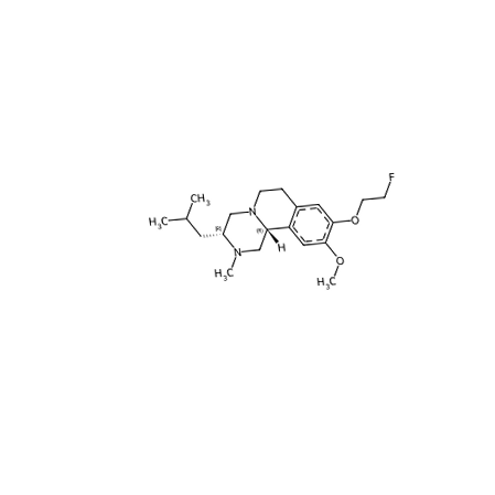 COc1cc2c(cc1OCCF)CCN1C[C@@H](CC(C)C)N(C)C[C@@H]21